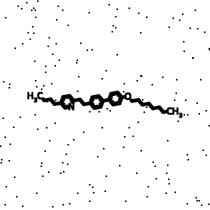 CCCCCCCCOc1ccc(-c2ccc(CCc3ccc(CCCC)cn3)cc2)cc1